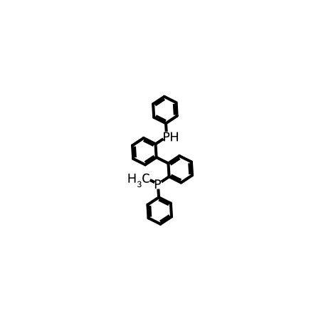 CP(c1ccccc1)c1ccccc1-c1ccccc1Pc1ccccc1